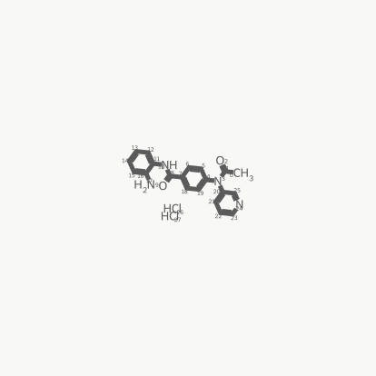 CC(=O)N(c1ccc(C(=O)Nc2ccccc2N)cc1)c1cccnc1.Cl.Cl